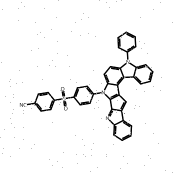 N#Cc1ccc(S(=O)(=O)c2ccc(-n3c4c(c5c6c7ccccc7n(-c7ccccc7)c6ccc53)C=C3C4=Nc4ccccc43)cc2)cc1